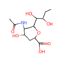 CCC(O)C(O)C1OC(C(=O)O)CC(O)C1NC(C)=O